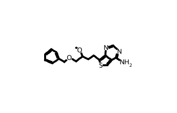 COC(CCc1scc2c(N)ncnc12)COCc1ccccc1